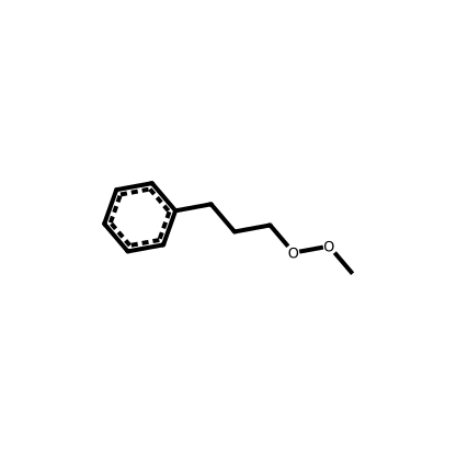 COOCCCc1ccccc1